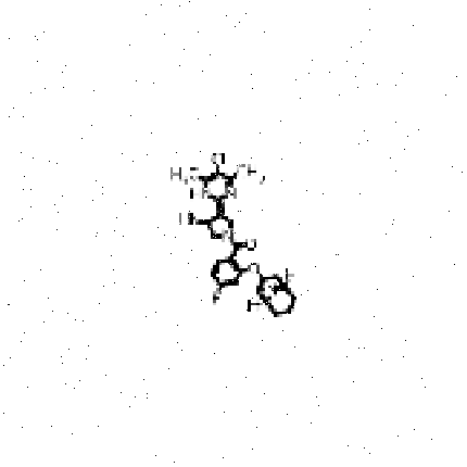 CC1=N/C(=C2\CN(C(=O)c3ccc(F)cc3O[C@H]3C[C@H]4CCC[C@@H](C3)N4)CC2=N)NC(C)=C1Cl